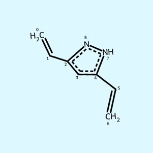 C=Cc1cc(C=C)[nH]n1